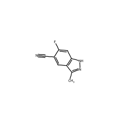 Cc1n[nH]c2cc(F)c(C#N)cc12